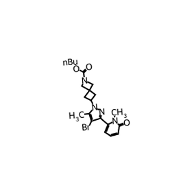 CCCCOC(=O)N1CC2(CC(n3nc(-c4cccc(=O)n4C)c(Br)c3C)C2)C1